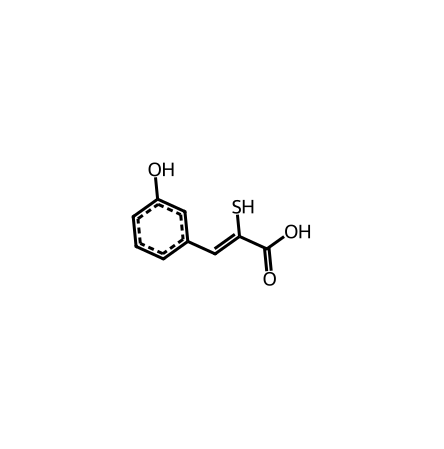 O=C(O)/C(S)=C/c1cccc(O)c1